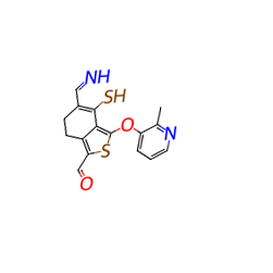 Cc1ncccc1Oc1sc(C=O)c2c1C(S)=C(C=N)CC2